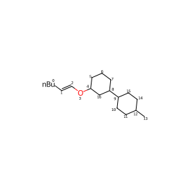 CCCC/C=C/OC1CCCC(C2CCC(C)CC2)C1